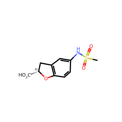 CS(=O)(=O)Nc1ccc2c(c1)C[C@@H](C(=O)O)O2